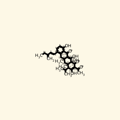 C=C(/C=C/c1ccc(O)c2c1C[C@]1(C)C[C@]3(C)C(C(C)C)C(O)=C(C(C)=O)C(=O)[C@]3(O)C(O)=C1C2=O)CC